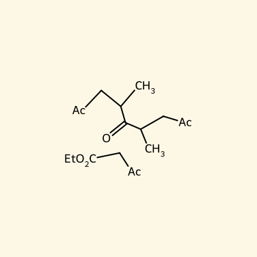 CC(=O)CC(C)C(=O)C(C)CC(C)=O.CCOC(=O)CC(C)=O